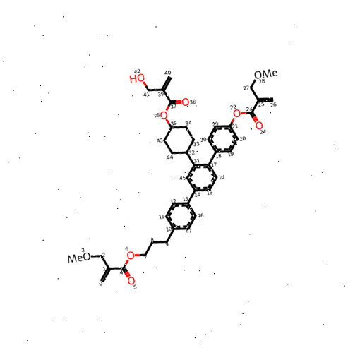 C=C(COC)C(=O)OCCCc1ccc(-c2ccc(-c3ccc(OC(=O)C(=C)COC)cc3)c(C3CCC(OC(=O)C(=C)CO)CC3)c2)cc1